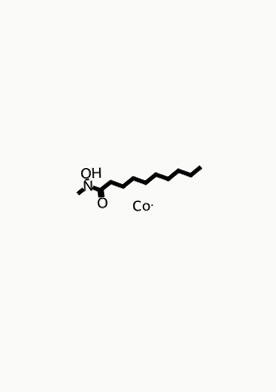 CCCCCCCCCC(=O)N(C)O.[Co]